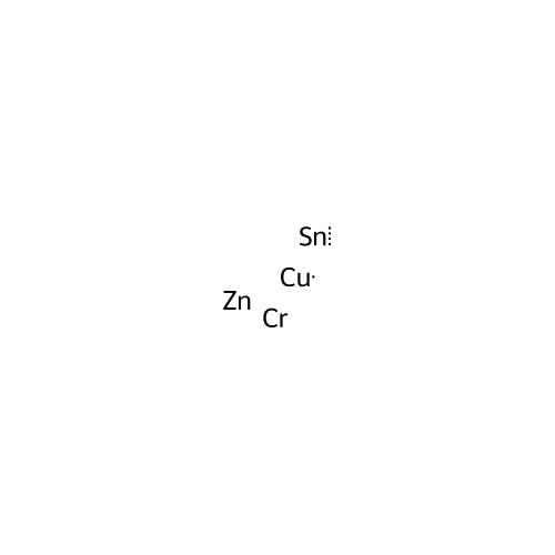 [Cr].[Cu].[Sn].[Zn]